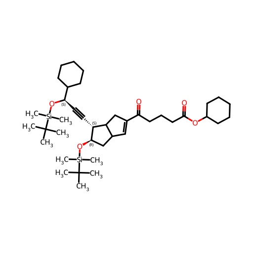 CC(C)(C)[Si](C)(C)O[C@H](C#C[C@@H]1C2CC(C(=O)CCCC(=O)OC3CCCCC3)=CC2C[C@H]1O[Si](C)(C)C(C)(C)C)C1CCCCC1